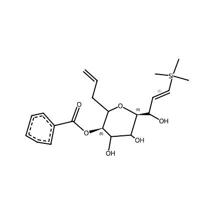 C=CCC1O[C@@H](C(O)/C=C/[Si](C)(C)C)C(O)C(O)[C@H]1OC(=O)c1ccccc1